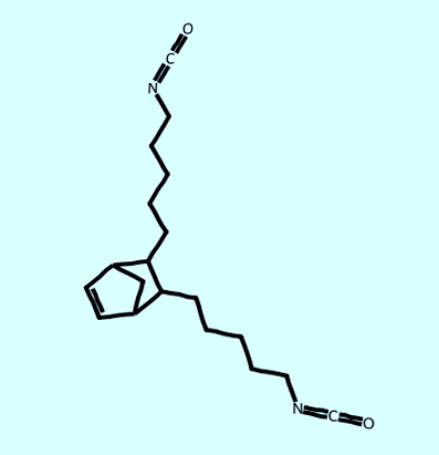 O=C=NCCCCCC1C2C=CC(C2)C1CCCCCN=C=O